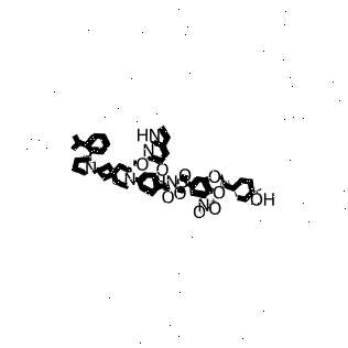 COc1nc2[nH]ccc2cc1Oc1cc(N2CCC3(CC2)CC(N2CCC[C@H]2c2ccccc2C(C)C)C3)ccc1C(=O)NS(=O)(=O)c1cc2c(c([N+](=O)[O-])c1)O[C@H]([C@H]1CC[C@](C)(O)CC1)CO2